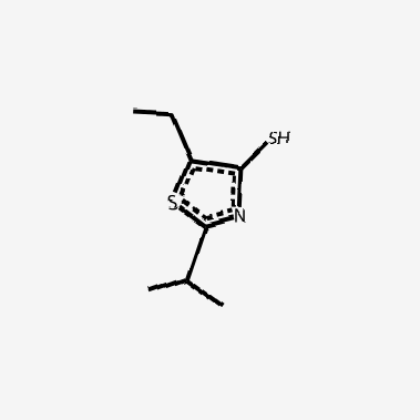 CCc1sc(C(C)C)nc1S